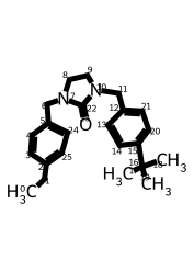 CCc1ccc(CN2CCN(Cc3ccc(C(C)(C)C)cc3)C2=O)cc1